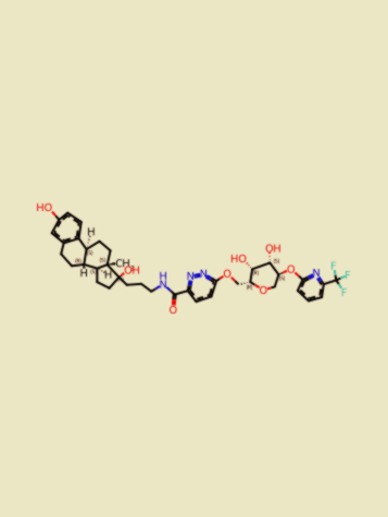 C[C@]12CC[C@@H]3c4ccc(O)cc4CC[C@H]3[C@@H]1CC[C@@]2(O)CCCNC(=O)c1ccc(OC[C@H]2OC[C@H](Oc3cccc(C(F)(F)F)n3)[C@@H](O)[C@H]2O)nn1